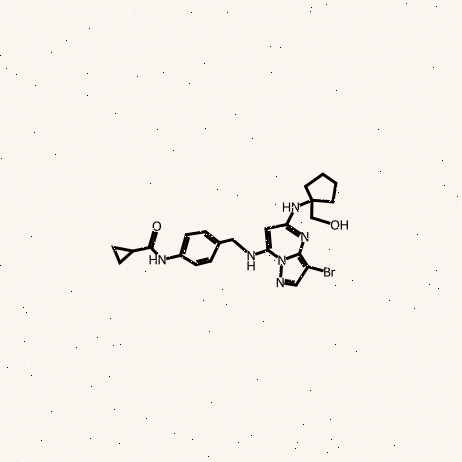 O=C(Nc1ccc(CNc2cc(NC3(CO)CCCC3)nc3c(Br)cnn23)cc1)C1CC1